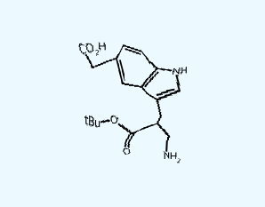 CC(C)(C)OC(=O)C(CN)c1c[nH]c2ccc(CC(=O)O)cc12